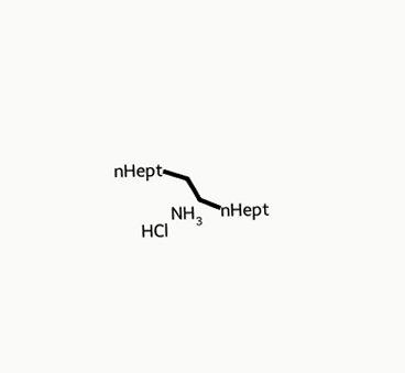 CCCCCCCCCCCCCCCC.Cl.N